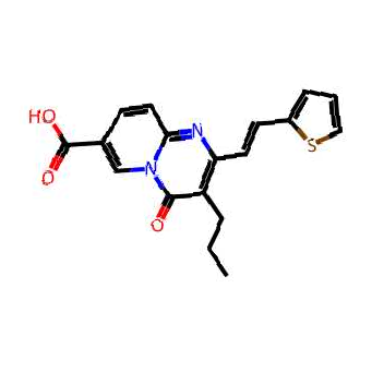 CCCc1c(C=Cc2cccs2)nc2ccc(C(=O)O)cn2c1=O